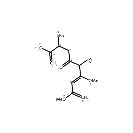 C=C(/C=C(\OC)C(C(=O)CC(CCCC)C(=C)C)C(C)C)OC